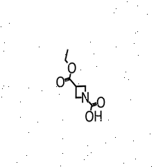 CCOC(=O)C1CN(C(=O)O)C1